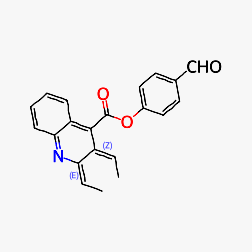 C/C=c1/c(C(=O)Oc2ccc(C=O)cc2)c2ccccc2n/c1=C/C